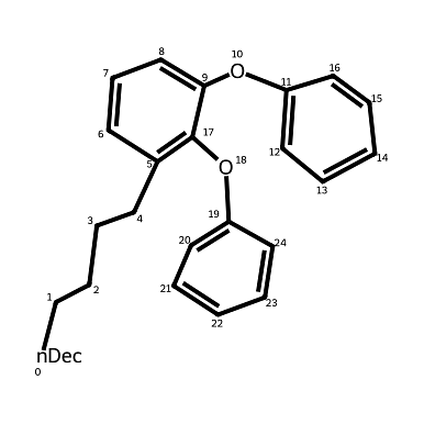 CCCCCCCCCCCCCCc1cccc(Oc2ccccc2)c1Oc1ccccc1